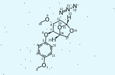 COc1ccc(O[C@H]2[C@H](OC)[C@H](N=[N+]=[N-])[C@@H]3OC[C@H]2O3)cc1